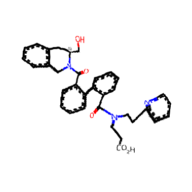 O=C(O)CCN(CCc1ccccn1)C(=O)c1ccccc1-c1ccccc1C(=O)N1Cc2ccccc2C[C@H]1CO